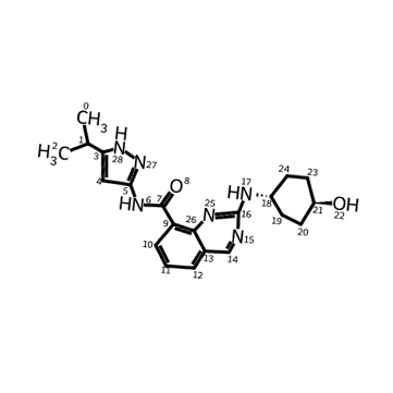 CC(C)c1cc(NC(=O)c2cccc3cnc(N[C@H]4CC[C@H](O)CC4)nc23)n[nH]1